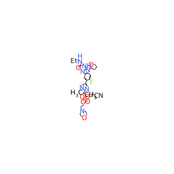 CCNC(=O)Nc1nc2cc(-c3cnc(C(C)(C)OP(=O)(OCCC#N)OCCN4CCOCC4)nc3)c(F)cc2n1C1CCCO1